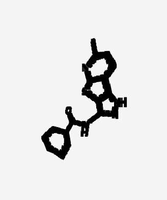 Cc1ccc2c(n1)sc1c(NC(=O)c3ccccc3)n[nH]c12